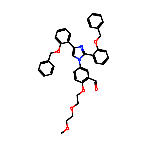 COCCOCCOc1ccc(-n2cc(-c3ccccc3OCc3ccccc3)nc2-c2ccccc2OCc2ccccc2)cc1C=O